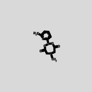 Cc1cccc(B2OC(=O)CN(C)CC(=O)O2)n1